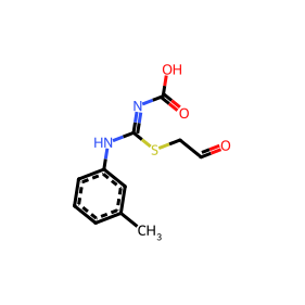 Cc1cccc(N/C(=N/C(=O)O)SCC=O)c1